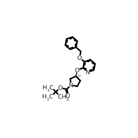 CC(C)(C)OC(=O)N1CC[C@H](Oc2ncccc2OCc2ccccc2)C1